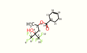 CC(CC(O)(C(F)(F)F)C(F)(F)F)OC(=O)C1CC=CCC1